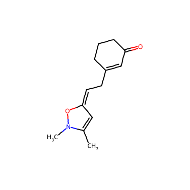 CC1=C/C(=C\CC2=CC(=O)CCC2)ON1C